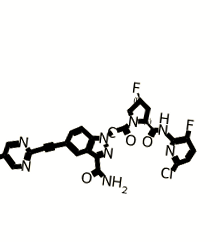 NC(=O)c1nn(CC(=O)N2C[C@H](F)C[C@H]2C(=O)Nc2nc(Cl)ccc2F)c2ccc(C#Cc3ncc(F)cn3)cc12